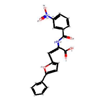 O=C(O)/C(=C\c1ccc(-c2ccccc2)o1)NC(=O)c1cccc([N+](=O)[O-])c1